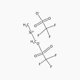 C[Si+2]C.O=S(=O)([O-])C(F)(F)F.O=S(=O)([O-])C(F)(F)F